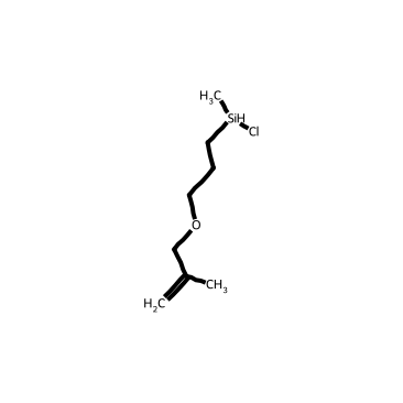 C=C(C)COCCC[SiH](C)Cl